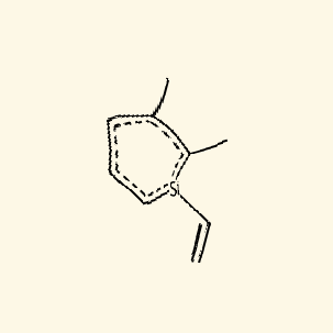 C=C[si]1cccc(C)c1C